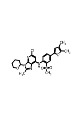 Cc1cc(-c2ccc(Nc3cc(Cl)nc4c3nc(C)n4C3CCCCO3)c(S(C)(=O)=O)c2)oc1C